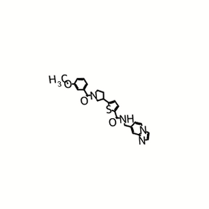 COc1cccc(C(=O)N2CCC(c3ccc(C(=O)NCc4ccn5ccnc5c4)s3)C2)c1